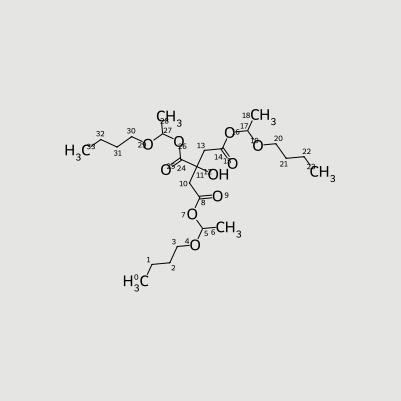 CCCCOC(C)OC(=O)CC(O)(CC(=O)OC(C)OCCCC)C(=O)OC(C)OCCCC